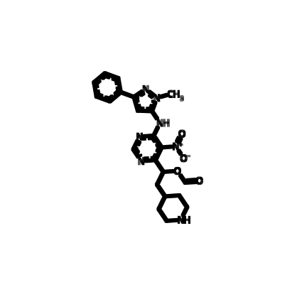 Cn1nc(-c2ccccc2)cc1Nc1ncnc(C(CC2CCNCC2)OC=O)c1[N+](=O)[O-]